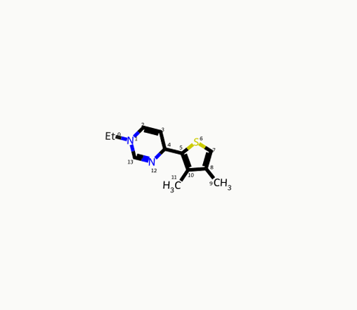 CCN1C=CC(c2scc(C)c2C)N=C1